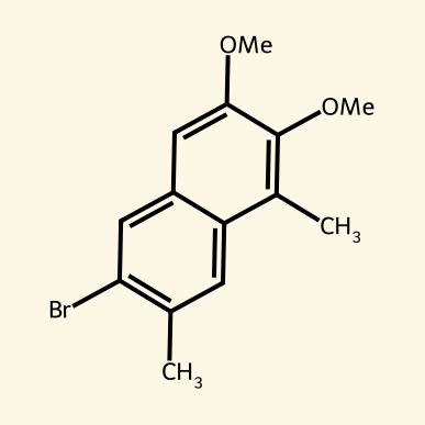 COc1cc2cc(Br)c(C)cc2c(C)c1OC